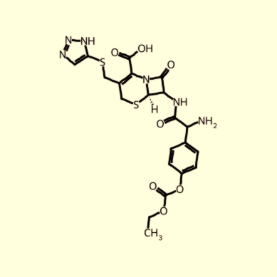 CCOC(=O)Oc1ccc(C(N)C(=O)NC2C(=O)N3C(C(=O)O)=C(CSc4cnn[nH]4)CS[C@H]23)cc1